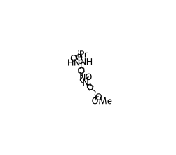 COC(=O)CCc1ccc(N2CCN(c3ccc(C(=N)NC(=O)OC(C)C)cc3)C2=O)cc1